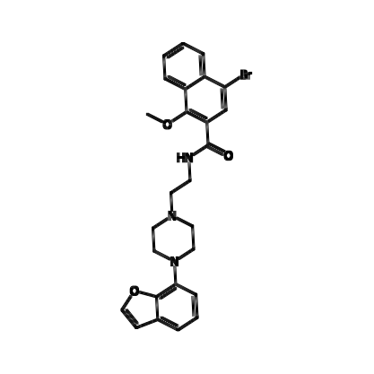 COc1c(C(=O)NCCN2CCN(c3cccc4ccoc34)CC2)cc(Br)c2ccccc12